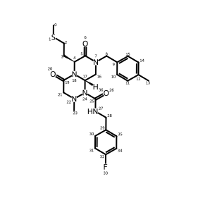 CSCC[C@H]1C(=O)N(Cc2ccc(C)cc2)C[C@H]2N1C(=O)CN(C)N2C(=O)NCc1ccc(F)cc1